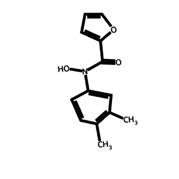 Cc1ccc(N(O)C(=O)c2ccco2)cc1C